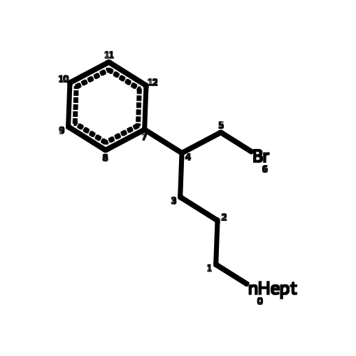 CCCCCCCCCCC(CBr)c1ccccc1